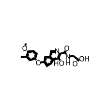 COc1ccc(Oc2ccc3c(O)c(C(=O)NCC(=O)O)ncc3c2)cc1C